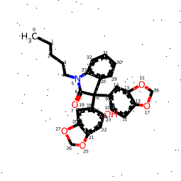 CCCCCN1C(=O)C(c2ccc3c(c2)OCO3)(c2cc3c(cc2O)OCO3)c2ccccc21